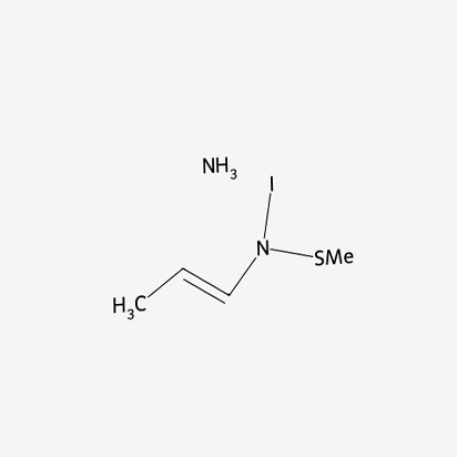 C/C=C/N(I)SC.N